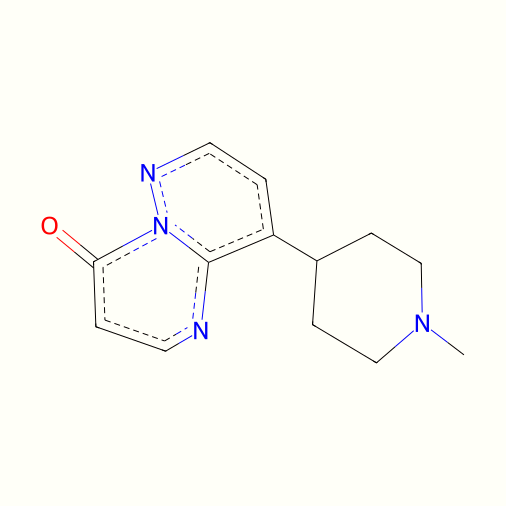 CN1CCC(c2ccnn3c(=O)ccnc23)CC1